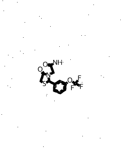 [NH]C(=O)CN1C(=O)CSC1c1cccc(OC(F)(F)F)c1